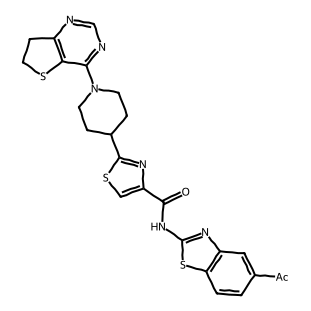 CC(=O)c1ccc2sc(NC(=O)c3csc(C4CCN(c5ncnc6c5SCC6)CC4)n3)nc2c1